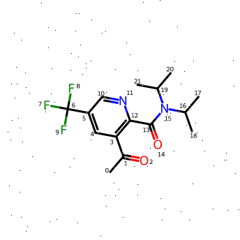 CC(=O)c1cc(C(F)(F)F)cnc1C(=O)N(C(C)C)C(C)C